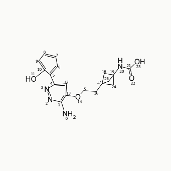 Nc1nnc(-c2ccccc2O)cc1OCCC12CC(NC(=O)O)(C1)C2